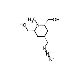 CN1[C@H](CO)C[C@H](CN=[N+]=[N-])C[C@@H]1CO